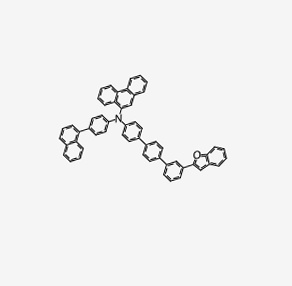 c1cc(-c2ccc(-c3ccc(N(c4ccc(-c5cccc6ccccc56)cc4)c4cc5ccccc5c5ccccc45)cc3)cc2)cc(-c2cc3ccccc3o2)c1